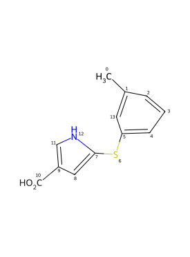 Cc1cccc(Sc2cc(C(=O)O)c[nH]2)c1